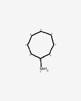 [SbH2][CH]1CCCCCCC1